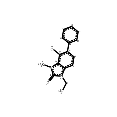 Cn1c(=O)n(CC(C)(C)C)c2ccc(-c3ccccc3)c(Cl)c21